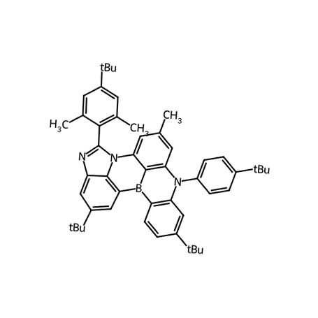 Cc1cc2c3c(c1)-n1c(-c4c(C)cc(C(C)(C)C)cc4C)nc4cc(C(C)(C)C)cc(c41)B3c1ccc(C(C)(C)C)cc1N2c1ccc(C(C)(C)C)cc1